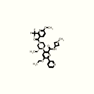 CCOc1cc(N2CCN(C(=O)c3ccc(OC)nc3C(F)(F)F)C[C@H]2CC)c(C(=O)NC2CN(C)C2)nc1-c1cccnc1